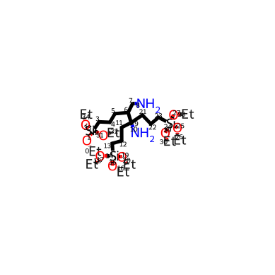 CCO[Si](CCCC(CN)C(N)(CCC[Si](OCC)(OCC)OCC)CCC[Si](OCC)(OCC)OCC)(OCC)OCC